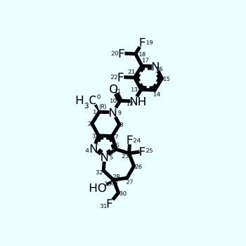 C[C@@H]1Cc2nn3c(c2CN1C(=O)Nc1ccnc(C(F)F)c1F)C(F)(F)CC[C@](O)(CF)C3